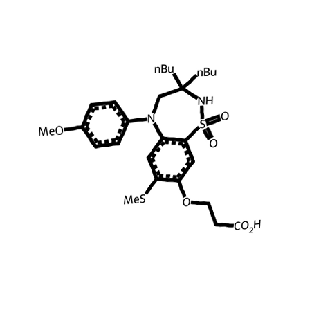 CCCCC1(CCCC)CN(c2ccc(OC)cc2)c2cc(SC)c(OCCC(=O)O)cc2S(=O)(=O)N1